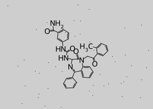 Cc1ccccc1C(=O)CN1C(=O)C(NC(=O)Nc2cccc(C(N)=O)c2)N=C(c2ccccc2)c2ccccc21